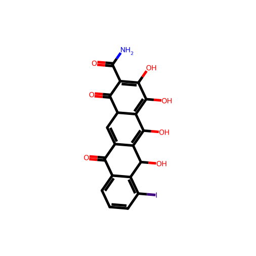 NC(=O)C1=C(O)C(O)=C2C(O)=C3C(=CC2C1=O)C(=O)c1cccc(I)c1C3O